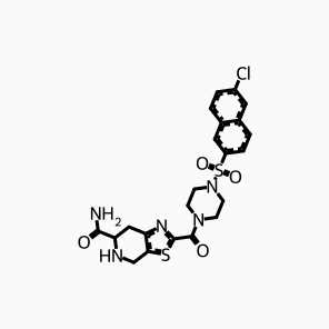 NC(=O)C1Cc2nc(C(=O)N3CCN(S(=O)(=O)c4ccc5cc(Cl)ccc5c4)CC3)sc2CN1